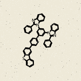 c1ccc(-c2nc3ccccc3n2-c2cc(-c3ccc(-c4ccc5sc6ccccc6c5c4)cc3)cc(-n3c(-c4ccccc4)nc4ccccc43)c2)cc1